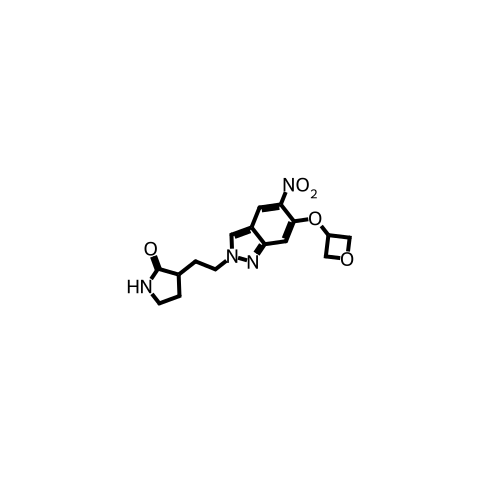 O=C1NCCC1CCn1cc2cc([N+](=O)[O-])c(OC3COC3)cc2n1